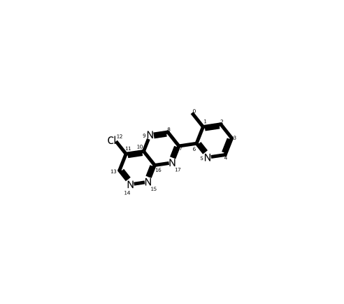 Cc1cccnc1-c1cnc2c(Cl)cnnc2n1